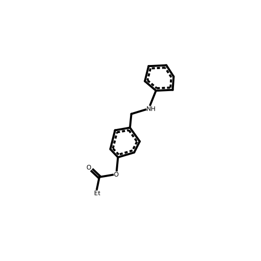 CCC(=O)Oc1ccc(CNc2ccccc2)cc1